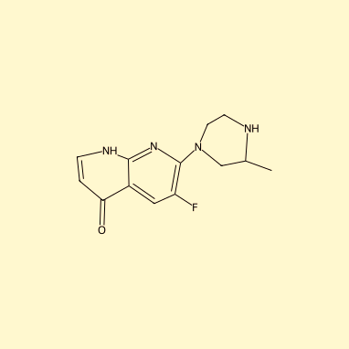 CC1CN(c2nc3[nH]ccc(=O)c3cc2F)CCN1